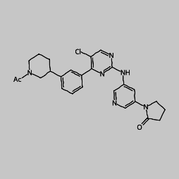 CC(=O)N1CCCC(c2cccc(-c3nc(Nc4cncc(N5CCCC5=O)c4)ncc3Cl)c2)C1